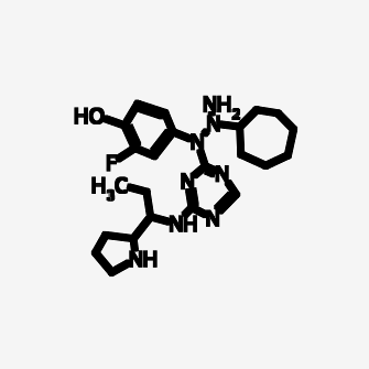 CCC(Nc1ncnc(N(c2ccc(O)c(F)c2)N(N)C2CCCCCC2)n1)C1CCCN1